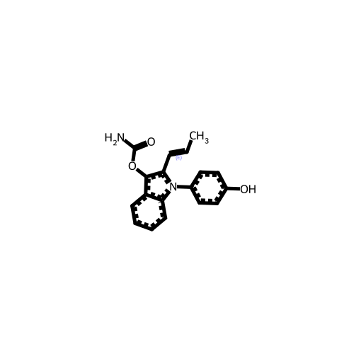 C/C=C/c1c(OC(N)=O)c2ccccc2n1-c1ccc(O)cc1